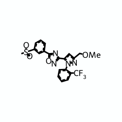 COCc1cc(-c2noc(-c3cccc(S(C)(=O)=O)c3)n2)n(-c2ccccc2C(F)(F)F)n1